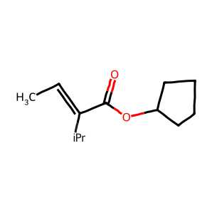 C/C=C(/C(=O)OC1CCCC1)C(C)C